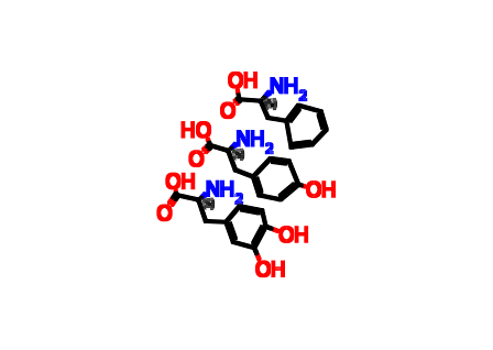 N[C@@H](Cc1ccc(O)c(O)c1)C(=O)O.N[C@@H](Cc1ccc(O)cc1)C(=O)O.N[C@@H](Cc1ccccc1)C(=O)O